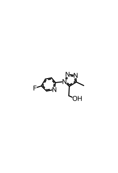 Cc1nnn(-c2ccc(F)cn2)c1CO